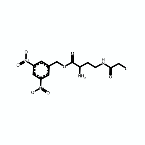 NC(CCNC(=O)CCl)C(=O)OCc1cc([N+](=O)[O-])cc([N+](=O)[O-])c1